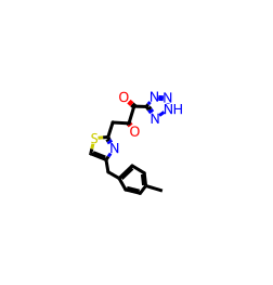 Cc1ccc(Cc2csc(CC(=O)C(=O)c3nn[nH]n3)n2)cc1